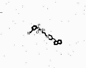 N#Cc1cccc(NC(=O)NCCCN2CCC(Cc3cccc4ccccc34)CC2)c1